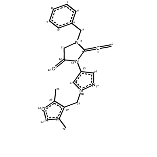 C=C=C1N(Cc2ccccc2)CC(=O)N1c1cnn(Cc2c(C)noc2C)c1